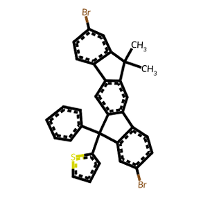 CC1(C)c2cc(Br)ccc2-c2cc3c(cc21)-c1ccc(Br)cc1C3(c1ccccc1)c1cccs1